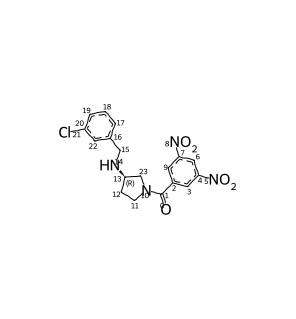 O=C(c1cc([N+](=O)[O-])cc([N+](=O)[O-])c1)N1CC[C@@H](NCc2cccc(Cl)c2)C1